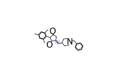 Cc1cc(C)c(C2C(=O)C/C(=C\C3CCN(Cc4ccccc4)CC3)C2=O)c(C)c1